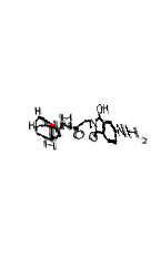 Nc1ccc2c(c1)C(O)N(CC(=O)N[C@@]13C[C@@H]4C[C@@H](C[C@H](C4)N1)C3)C2=O